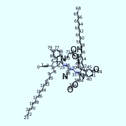 CC#CCCC1(CCCCCCCCCCCCCCCCCC)C(/C=C/C(C#N)=C/C=C2/N(CCOC=O)c3ccc(OC)cc3C2(CC#CC)CCCCCCCCCCCCCCCCC)=[N+](CCC(=O)O)c2ccc(C)cc21